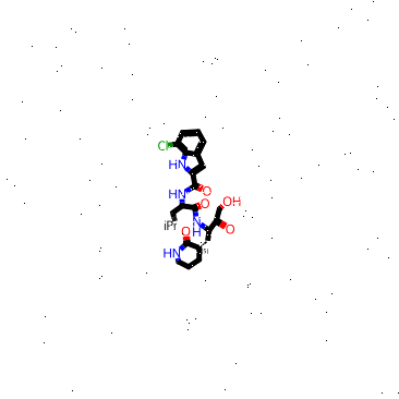 CC(C)CC(NC(=O)c1cc2cccc(Cl)c2[nH]1)C(=O)NC(C[C@@H]1CCCNC1=O)C(=O)CO